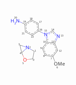 C1CN2CC2O1.COc1ccc2c(c1)ncn2-c1ccc(N)cc1